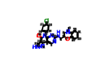 CN1CC(CNc2ncc3c4n[nH]cc4c(=O)n(-c4ccc(Cl)cc4)c3n2)Oc2ccccc21